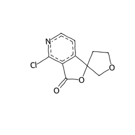 O=C1OC2(CCOC2)c2ccnc(Cl)c21